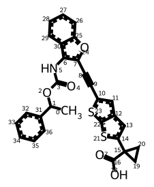 CC(OC(=O)Nc1c(C#Cc2cc3cc(C4(C(=O)O)CC4)sc3s2)oc2ccccc12)c1ccccc1